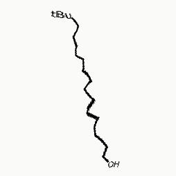 CC(C)(C)CCCCCCCCCCCCCCO